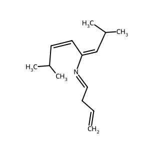 C=CC/C=N/C(/C=C\C(C)C)=C/C(C)C